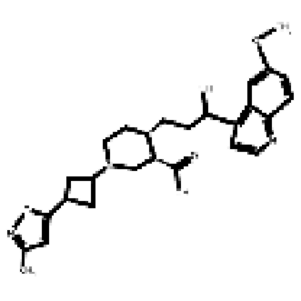 COc1ccc2nccc(C(O)CC[C@@H]3CCN(C4CC(c5cc(C)no5)C4)C[C@@H]3C(=O)O)c2c1